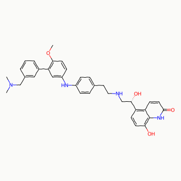 COc1ccc(Nc2ccc(CCNC[C@H](O)c3ccc(O)c4[nH]c(=O)ccc34)cc2)cc1-c1cccc(CN(C)C)c1